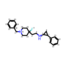 FC1(CCNC2CC2c2ccccc2)CCN(Cc2ccccc2)CC1